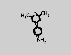 CC1CN(C2C=C[C@H](N)CC2)CC(C)O1